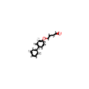 O=CCCCOc1ccc(-c2ccccc2)cc1